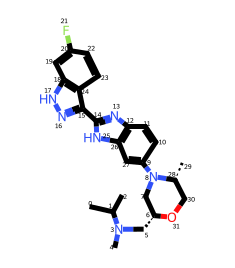 CC(C)N(C)C[C@@H]1CN(c2ccc3nc(-c4n[nH]c5cc(F)ccc45)[nH]c3c2)[C@H](C)CO1